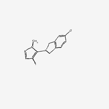 Cn1ncc(I)c1N1Cc2ccc(Cl)cc2C1